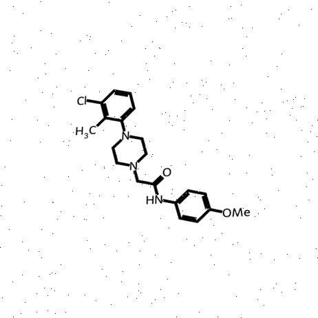 COc1ccc(NC(=O)CN2CCN(c3cccc(Cl)c3C)CC2)cc1